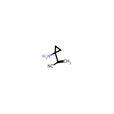 C=C(C#N)C1(N)CC1